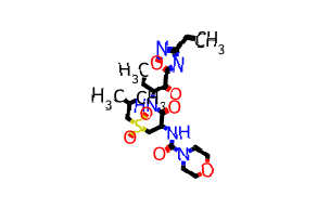 CCc1noc(C(=O)C(CC)NC(=O)C(CS(=O)(=O)CC(C)C)NC(=O)N2CCOCC2)n1